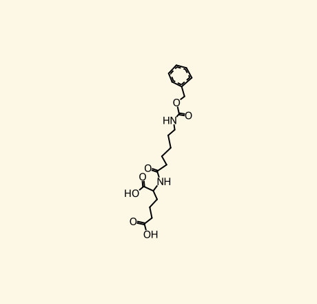 O=C(O)CCCC(NC(=O)CCCCCNC(=O)OCc1ccccc1)C(=O)O